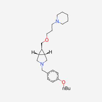 CCCCOc1ccc(CN2C[C@@H]3[C@@H](COCCCN4CCCCC4)[C@@H]3C2)cc1